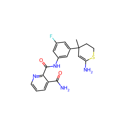 CC1(c2cc(F)cc(NC(=O)c3ncccc3C(N)=O)c2)C=C(N)SCC1